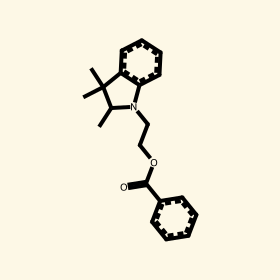 CC1N(CCOC(=O)c2ccccc2)c2ccccc2C1(C)C